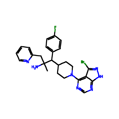 CC(N)(Cc1ccccn1)C(c1ccc(F)cc1)C1CCN(c2ncnc3[nH]nc(Br)c23)CC1